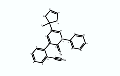 CC1(c2cc(-c3ccccc3C#N)c(=O)n(-c3ccccc3)c2)CC=CO1